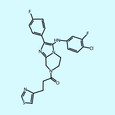 O=C(CCc1cscn1)N1CCn2c(nc(-c3ccc(F)cc3)c2Nc2ccc(Cl)c(F)c2)C1